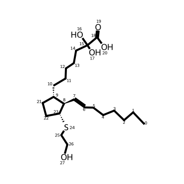 CCCCCCC=C[C@@H]1[C@@H](CCCCCC(O)(O)C(=O)O)CC[C@H]1SCCO